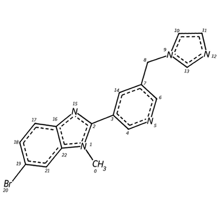 Cn1c(-c2cncc(Cn3ccnc3)c2)nc2ccc(Br)cc21